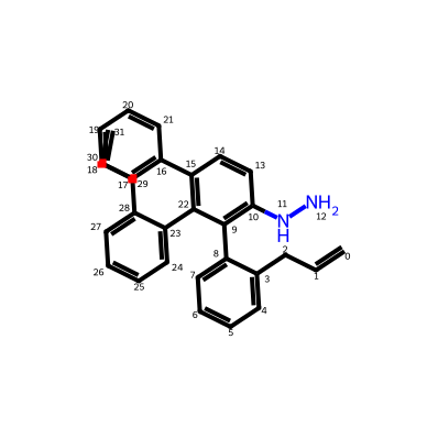 C=CCc1ccccc1-c1c(NN)ccc(-c2ccccc2)c1-c1ccccc1CC=C